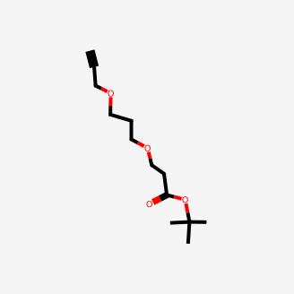 C#CCOCCCOCCC(=O)OC(C)(C)C